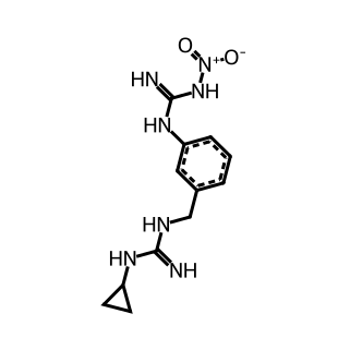 N=C(NCc1cccc(NC(=N)N[N+](=O)[O-])c1)NC1CC1